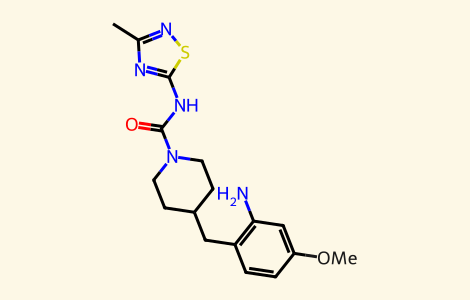 COc1ccc(CC2CCN(C(=O)Nc3nc(C)ns3)CC2)c(N)c1